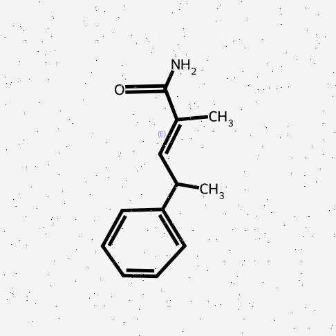 C/C(=C\C(C)c1ccccc1)C(N)=O